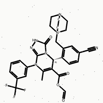 CC1=C(C(=O)OC=O)[C@@H](c2ccc(C#N)cc2C[N+]23CCN(CC2)CC3)n2c(n[nH]c2=O)N1c1cccc(C(F)(F)F)c1